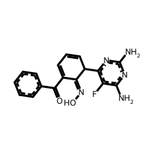 Nc1nc(N)c(F)c(C2C=CC=C(C(=O)c3ccccc3)C2=NO)n1